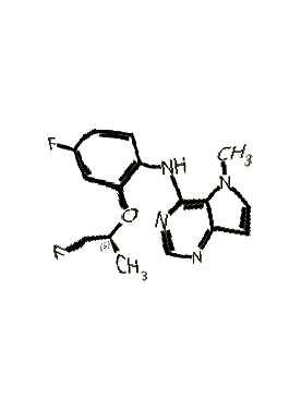 C[C@@H](CF)Oc1cc(F)ccc1Nc1ncnc2ccn(C)c12